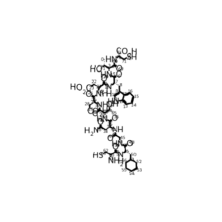 C[C@@H](O)[C@H](NC(=O)[C@H](Cc1c[nH]c2ccccc12)NC(=O)[C@H](CC(=O)O)NC(=O)[C@H](CC(=O)O)NC(=O)[C@@H](NC(=O)[C@H](CC(N)=O)NC(=O)CNC(=O)[C@H](CC1CCCCC1)NC(=O)[C@@H](N)CS)[C@@H](C)O)C(=O)N[C@@H](CS)C(=O)O